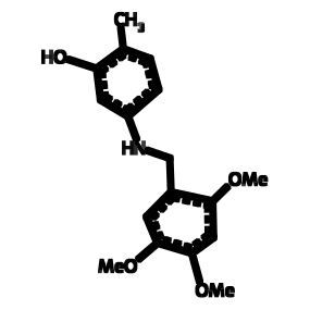 COc1cc(OC)c(OC)cc1CNc1ccc(C)c(O)c1